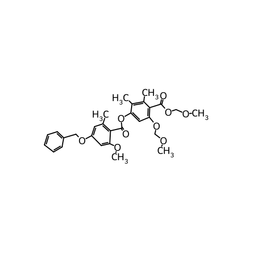 COCOC(=O)c1c(OCOC)cc(OC(=O)c2c(C)cc(OCc3ccccc3)cc2OC)c(C)c1C